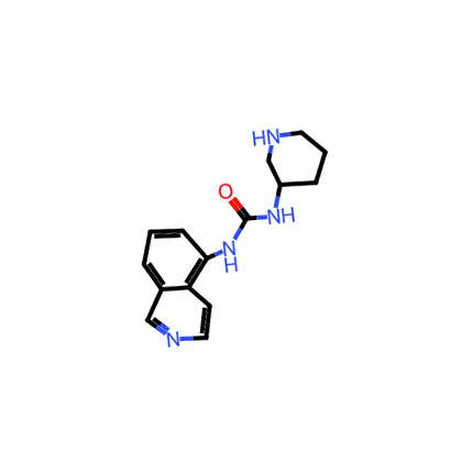 O=C(Nc1cccc2cnccc12)NC1CCCNC1